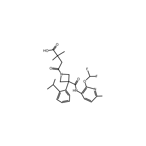 Cc1ccc(NC(=O)C2(c3ccccc3C(C)C)CN(C(=O)CC(C)(C)C(=O)O)C2)c(OC(F)F)n1